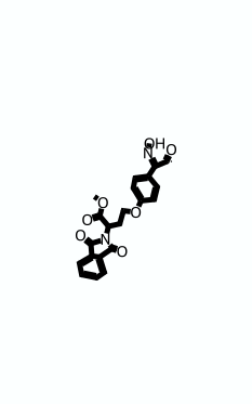 COC(=O)C(CCOc1ccc(C([C]=O)=NO)cc1)N1C(=O)c2ccccc2C1=O